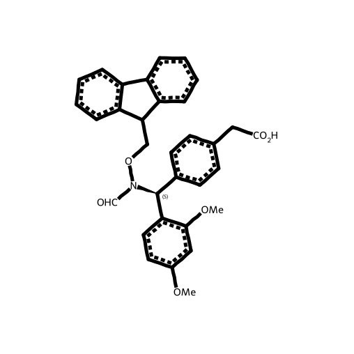 COc1ccc([C@H](c2ccc(CC(=O)O)cc2)N(C=O)OCC2c3ccccc3-c3ccccc32)c(OC)c1